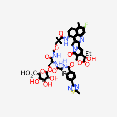 CC[C@@]1(O)C(=O)OCc2c1cc1n(c2=O)Cc2c-1nc1cc(F)c(C)c3c1c2[C@@H](NC(=O)C(C)(C)COCNC(=O)[C@H](CO[C@@H]1O[C@H](C(=O)O)[C@@H](O)[C@H](O)[C@H]1O)NC(=O)[C@@H](NC(=O)c1ccc(-c2nsc(C)n2)cc1)C(C)C)CC3